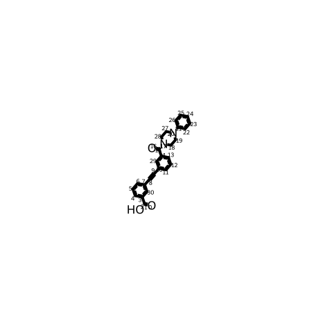 O=C(O)c1cccc(C#Cc2cccc(C(=O)N3CCN(c4ccccc4)CC3)c2)c1